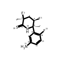 C[C@]1(F)C[C@@H](F)[C@@](C)(c2cc(N)ccc2F)NC1=S